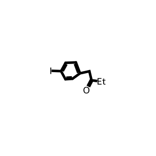 CCC(=O)Cc1ccc(I)cc1